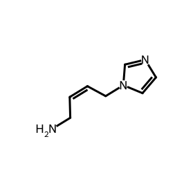 NC/C=C\Cn1ccnc1